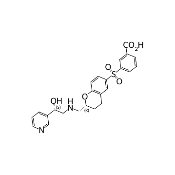 O=C(O)c1cccc(S(=O)(=O)c2ccc3c(c2)CC[C@H](CNC[C@@H](O)c2cccnc2)O3)c1